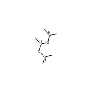 C[SiH](C)O[SiH](C)O[SiH](C)C